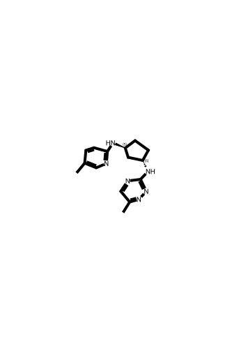 Cc1ccc(N[C@H]2CC[C@H](Nc3ncc(C)nn3)C2)nc1